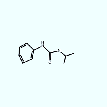 CC(C)[N]C(=O)Nc1ccccc1